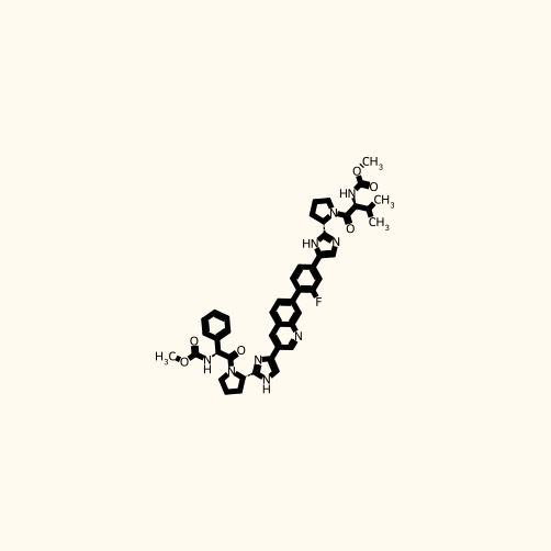 COC(=O)N[C@H](C(=O)N1CCC[C@H]1c1ncc(-c2ccc(-c3ccc4cc(-c5c[nH]c([C@@H]6CCCN6C(=O)[C@H](NC(=O)OC)c6ccccc6)n5)cnc4c3)c(F)c2)[nH]1)C(C)C